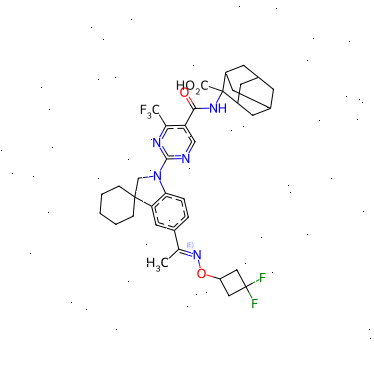 C/C(=N\OC1CC(F)(F)C1)c1ccc2c(c1)C1(CCCCC1)CN2c1ncc(C(=O)NC2(C(=O)O)C3CC4CC(C3)CC2C4)c(C(F)(F)F)n1